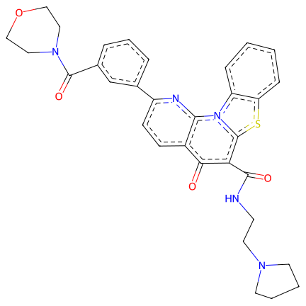 O=C(NCCN1CCCC1)c1c(=O)c2ccc(-c3cccc(C(=O)N4CCOCC4)c3)nc2n2c1sc1ccccc12